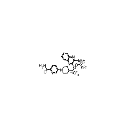 CCCS(=O)(=O)Nc1nc2ccccc2nc1O[C@H](C1CCN(c2ccc(C(N)=O)nc2)CC1)C(F)(F)F